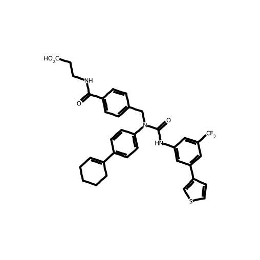 O=C(O)CCNC(=O)c1ccc(CN(C(=O)Nc2cc(-c3ccsc3)cc(C(F)(F)F)c2)c2ccc(C3=CCCCC3)cc2)cc1